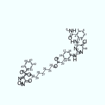 CNC(=O)c1ccccc1Nc1nc(Nc2cccc(CC(=O)OCCCCCCCOc3nonc3S(=O)(=O)c3ccccc3)c2)ncc1Cl